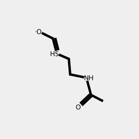 CC(=O)NCC[SH]=C[O]